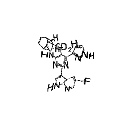 O=C(O)[C@H]1C2CCC(CC2)[C@@H]1Nc1nc(-c2c[nH]c3ncc(F)cc23)nc(-c2cc[nH]n2)c1F